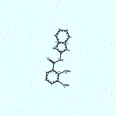 COc1cccc(C(=O)Nc2nc3ccccc3[nH]2)c1OC